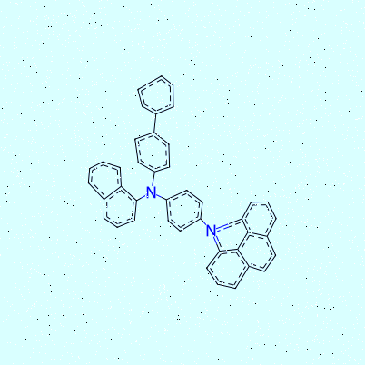 c1ccc(-c2ccc(N(c3ccc(-n4c5cccc6ccc7cccc4c7c65)cc3)c3cccc4ccccc34)cc2)cc1